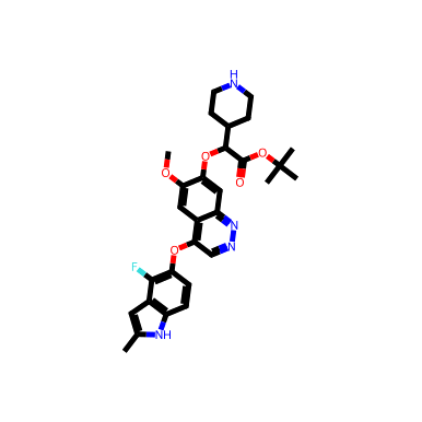 COc1cc2c(Oc3ccc4[nH]c(C)cc4c3F)cnnc2cc1OC(C(=O)OC(C)(C)C)C1CCNCC1